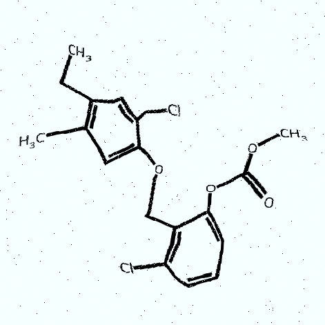 CCc1cc(Cl)c(OCc2c(Cl)cccc2OC(=O)OC)cc1C